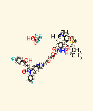 CCCCC1(CC)CS(=O)(=O)c2ccc(N(C)C)cc2C(c2cccc(NC(=O)COCCOCCNCc3ccc(C4C(CCC(O)c5ccc(F)cc5)C(=O)N4c4ccc(F)cc4)cc3)c2)C1O.O=C(O)C(F)(F)F